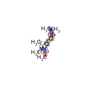 CCCCc1nc(SC)c(C(=O)OCC)n1Cc1ccc(Cc2cccc(S(=O)(=O)/N=C/N(C)C)c2)cc1